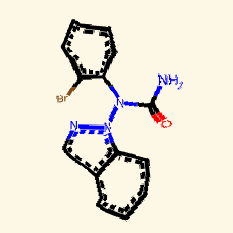 NC(=O)N(c1ccccc1Br)n1ncc2ccccc21